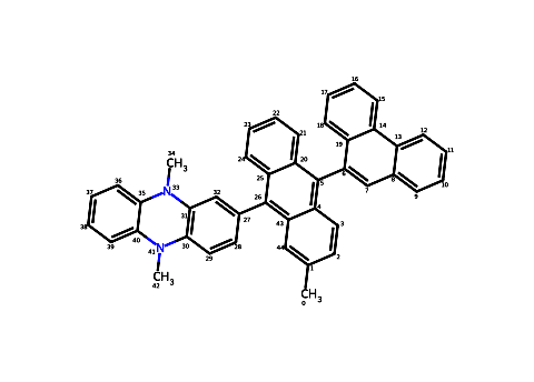 Cc1ccc2c(-c3cc4ccccc4c4ccccc34)c3ccccc3c(-c3ccc4c(c3)N(C)c3ccccc3N4C)c2c1